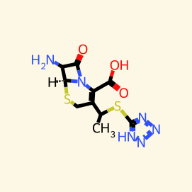 CC(Sc1nnn[nH]1)C1=C(C(=O)O)N2C(=O)C(N)[C@@H]2SC1